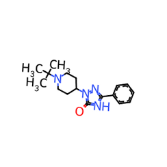 CC(C)(C)N1CCC(n2nc(-c3ccccc3)[nH]c2=O)CC1